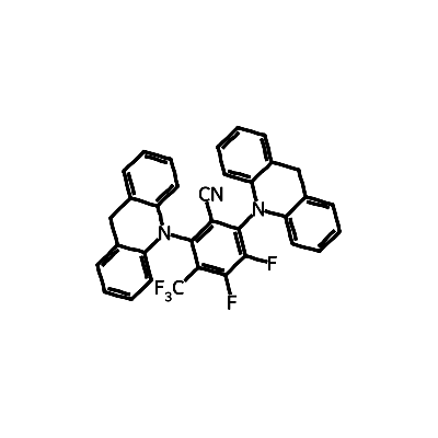 N#Cc1c(N2c3ccccc3Cc3ccccc32)c(F)c(F)c(C(F)(F)F)c1N1c2ccccc2Cc2ccccc21